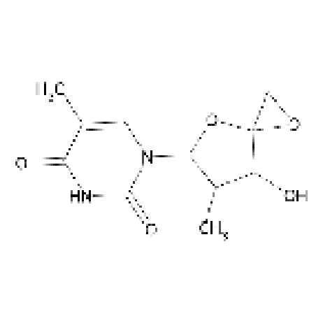 Cc1cn(C2OC3(CO3)C(O)C2C)c(=O)[nH]c1=O